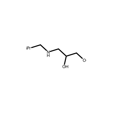 CC(C)CNCC(O)C[O]